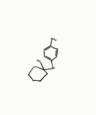 CC(=O)C1(Nc2ccc(N)cc2)CCCCC1